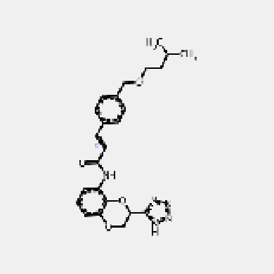 CC(C)CCOCc1ccc(/C=C/C(=O)Nc2cccc3c2OC(c2nnn[nH]2)CO3)cc1